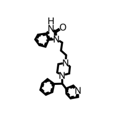 O=c1[nH]c2ccccc2n1CCCN1CCN(C(c2ccccc2)c2cccnc2)CC1